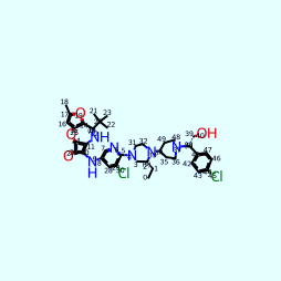 CC[C@H]1CN(c2ncc(Nc3c(N[C@@H](c4ccc(C)o4)C(C)(C)C)c(=O)c3=O)cc2Cl)CCN1C1CCN([C@H](CO)c2ccc(Cl)cc2)CC1